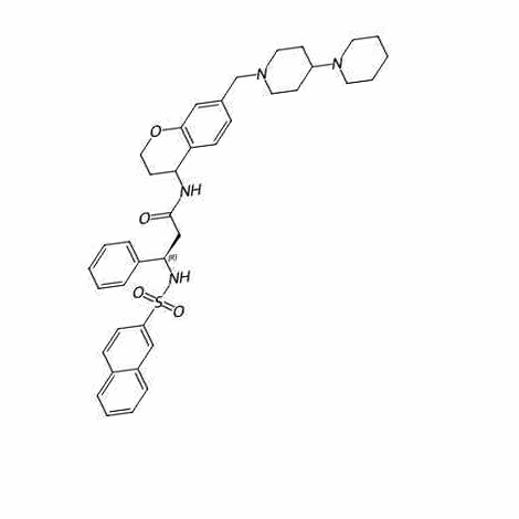 O=C(C[C@@H](NS(=O)(=O)c1ccc2ccccc2c1)c1ccccc1)NC1CCOc2cc(CN3CCC(N4CCCCC4)CC3)ccc21